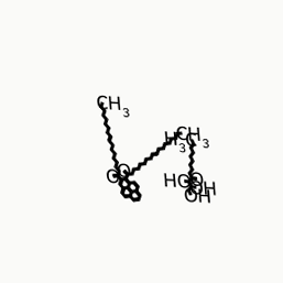 CCCCCCCCC=CCCCCCCCC(=O)c1cc2ccc3cccc4ccc(c1C(=O)CCCCCCCC=CCCCCCCCC)c2c34.CCCCCCCCCC(=O)C(O)C(O)CO